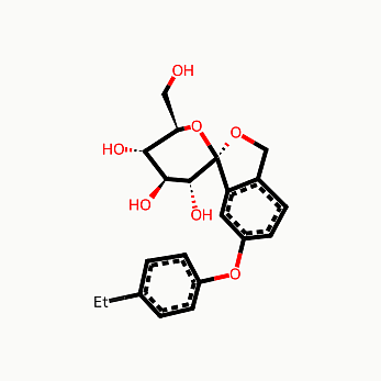 CCc1ccc(Oc2ccc3c(c2)[C@]2(OC3)O[C@H](CO)[C@@H](O)[C@H](O)[C@H]2O)cc1